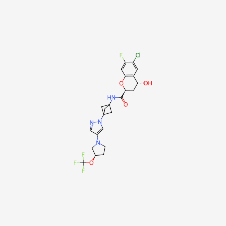 O=C(NC12CC(n3cc(N4CC[C@@H](OC(F)(F)F)C4)cn3)(C1)C2)[C@@H]1C[C@@H](O)c2cc(Cl)c(F)cc2O1